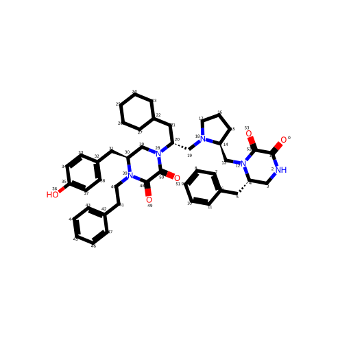 O=C1NC[C@H](Cc2ccccc2)N(C[C@@H]2CCCN2C[C@@H](CC2CCCCC2)N2C[C@H](Cc3ccc(O)cc3)N(CCc3ccccc3)C(=O)C2=O)C1=O